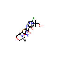 CC(C)(CO)NC(=O)Nc1nc2c(s1)[C@@H]1COC[C@H](C2)N1c1cc(-c2ccc(F)cc2)on1